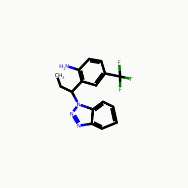 CCC(c1cc(C(F)(F)F)ccc1N)n1nnc2ccccc21